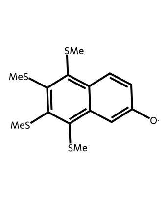 CSc1c(SC)c(SC)c2cc([O])ccc2c1SC